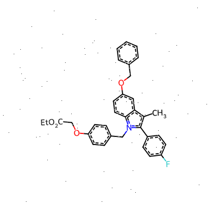 CCOC(=O)COc1ccc(Cn2c(-c3ccc(F)cc3)c(C)c3cc(OCc4ccccc4)ccc32)cc1